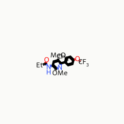 CCC(=O)Nc1cc(C)c(-c2ccc(OC(F)(F)F)cc2OC)nc1OC